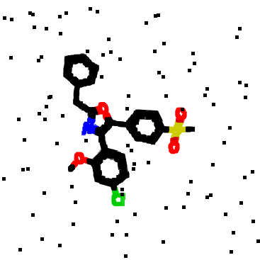 COc1cc(Cl)ccc1-c1nc(Cc2ccccc2)oc1-c1ccc(S(C)(=O)=O)cc1